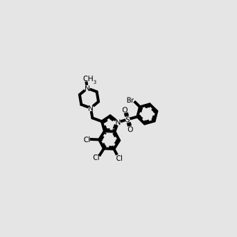 CN1CCN(Cc2cn(S(=O)(=O)c3ccccc3Br)c3cc(Cl)c(Cl)c(Cl)c23)CC1